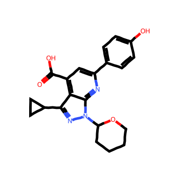 O=C(O)c1cc(-c2ccc(O)cc2)nc2c1c(C1CC1)nn2C1CCCCO1